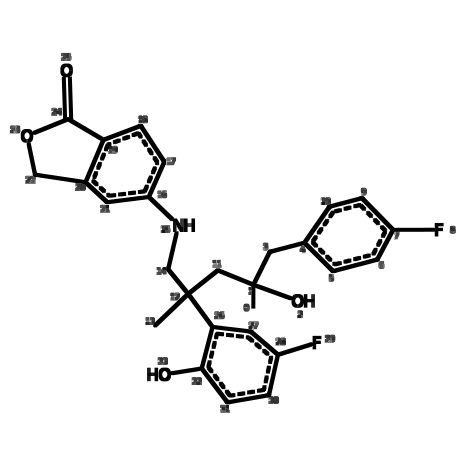 CC(O)(Cc1ccc(F)cc1)CC(C)(CNc1ccc2c(c1)COC2=O)c1cc(F)ccc1O